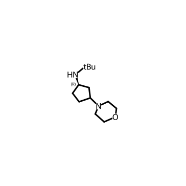 CC(C)(C)N[C@@H]1CCC(N2CCOCC2)C1